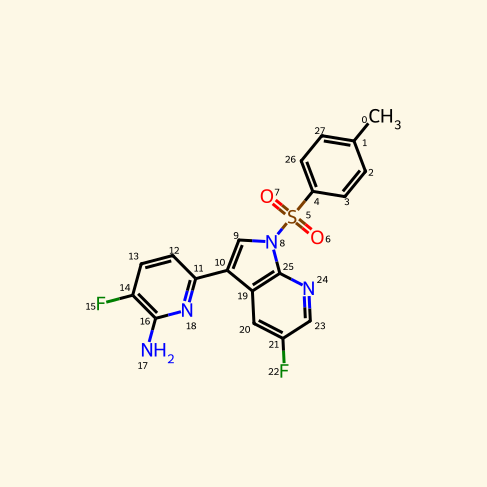 Cc1ccc(S(=O)(=O)n2cc(-c3ccc(F)c(N)n3)c3cc(F)cnc32)cc1